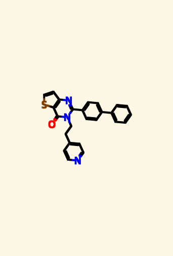 O=c1c2sccc2nc(-c2ccc(-c3ccccc3)cc2)n1CCc1ccncc1